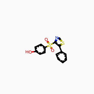 O=S(=O)(c1ccc(O)cc1)c1ncsc1-c1ccccc1